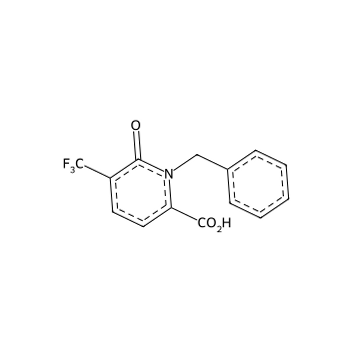 O=C(O)c1ccc(C(F)(F)F)c(=O)n1Cc1ccccc1